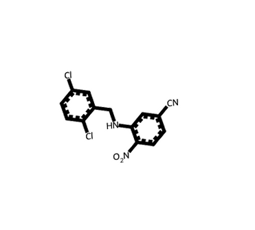 N#Cc1ccc([N+](=O)[O-])c(NCc2cc(Cl)ccc2Cl)c1